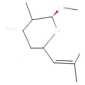 CO[C@H]1OC(C=C(C)C)[C@H](C)[C@H](C)C1C